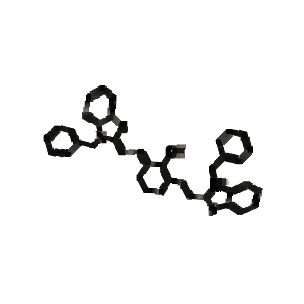 OC1=C(/C=C/c2sc3ccccc3[n+]2Cc2ccccc2)CCC/C1=C\C=C1/Sc2ccccc2N1Cc1ccccc1